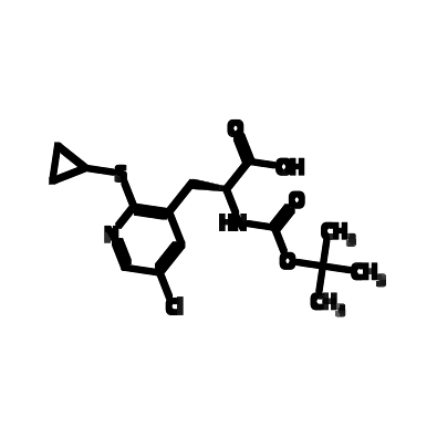 CC(C)(C)OC(=O)N[C@@H](Cc1cc(Cl)cnc1SC1CC1)C(=O)O